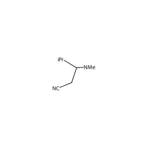 CNC(CC#N)C(C)C